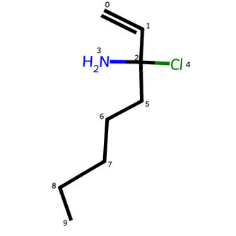 C=CC(N)(Cl)CCCCC